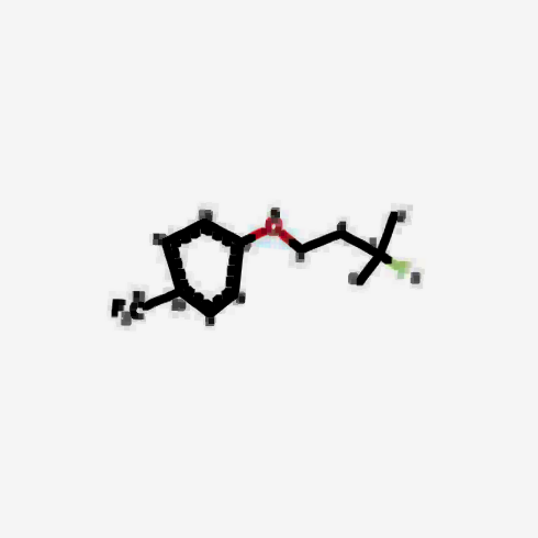 CC(C)(F)CCOc1ccc(C(F)(F)F)cc1